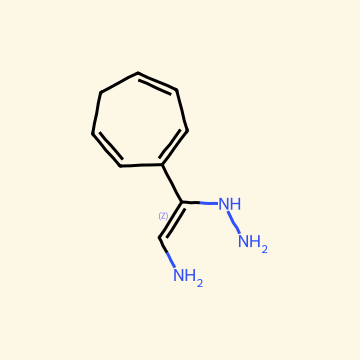 N/C=C(\NN)C1=CC=CCC=C1